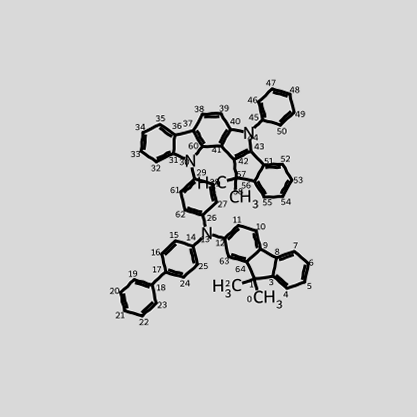 CC1(C)c2ccccc2-c2ccc(N(c3ccc(-c4ccccc4)cc3)c3ccc(-n4c5ccccc5c5ccc6c(c7c(n6-c6ccccc6)-c6ccccc6C7(C)C)c54)cc3)cc21